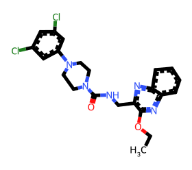 CCOc1nc2ccccc2nc1CNC(=O)N1CCN(c2cc(Cl)cc(Cl)c2)CC1